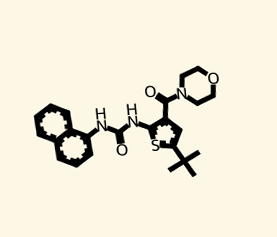 CC(C)(C)c1cc(C(=O)N2CCOCC2)c(NC(=O)Nc2cccc3ccccc23)s1